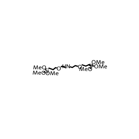 CO[Si](CCCOCCNCCOCCC[Si](OC)(OC)OC)(OC)OC